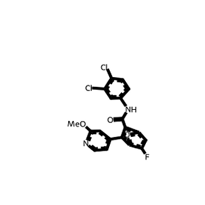 COc1cc(-c2c(C(=O)Nc3ccc(Cl)c(Cl)c3)c3cc(F)c2o3)ccn1